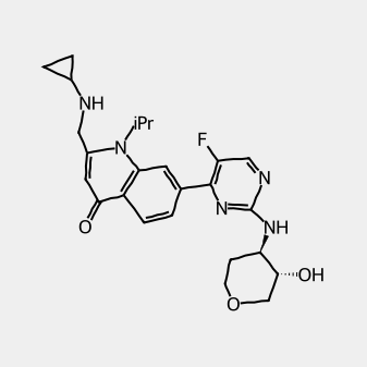 CC(C)n1c(CNC2CC2)cc(=O)c2ccc(-c3nc(N[C@@H]4CCOC[C@H]4O)ncc3F)cc21